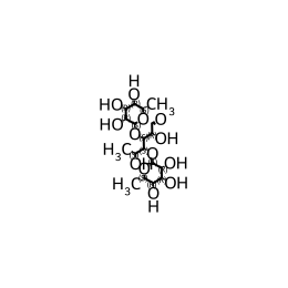 C[C@H](O)[C@H](O[C@@H]1O[C@@H](C)[C@H](O)[C@@H](O)[C@H]1O)[C@@H](O[C@@H]1O[C@@H](C)[C@H](O)[C@@H](O)[C@H]1O)[C@@H](O)C=O